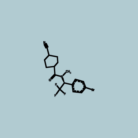 CN(C(=O)C1CCC(C#N)CC1)[C@@H](c1ccc(Br)cc1)C(F)(F)F